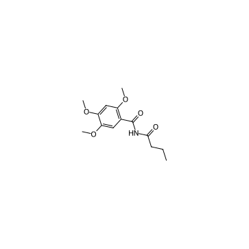 CCCC(=O)NC(=O)c1cc(OC)c(OC)cc1OC